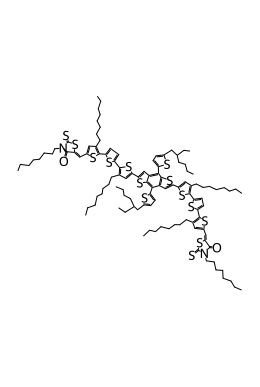 CCCCCCCCc1cc(/C=C2\SC(=S)N(CCCCCCCC)C2=O)sc1-c1ccc(-c2sc(-c3cc4c(-c5ccc(CC(CC)CCCC)s5)c5sc(-c6cc(CCCCCCCC)c(-c7ccc(-c8sc(/C=C9\SC(=S)N(CCCCCCCC)C9=O)cc8CCCCCCCC)s7)s6)cc5c(-c5ccc(CC(CC)CCCC)s5)c4s3)cc2CCCCCCCC)s1